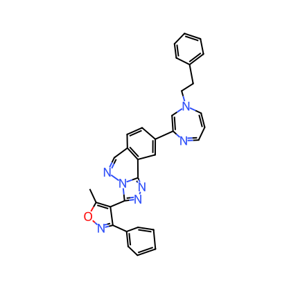 Cc1onc(-c2ccccc2)c1-c1nnc2c3cc(C4=CN(CCc5ccccc5)C=CC=N4)ccc3cnn12